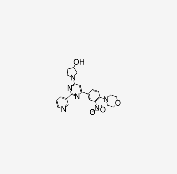 O=[N+]([O-])c1cc(-c2cc(N3CCC(O)C3)nc(-c3cccnc3)n2)ccc1N1CCOCC1